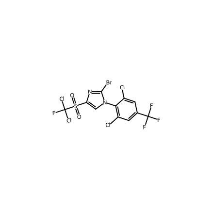 O=S(=O)(c1cn(-c2c(Cl)cc(C(F)(F)F)cc2Cl)c(Br)n1)C(F)(Cl)Cl